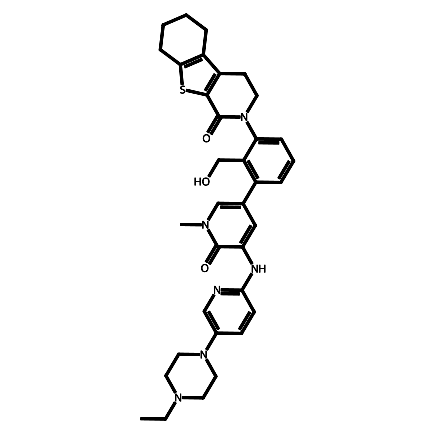 CCN1CCN(c2ccc(Nc3cc(-c4cccc(N5CCc6c(sc7c6CCCC7)C5=O)c4CO)cn(C)c3=O)nc2)CC1